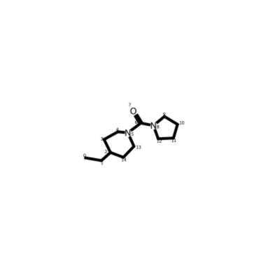 CCC1CCN(C(=O)N2CCCC2)CC1